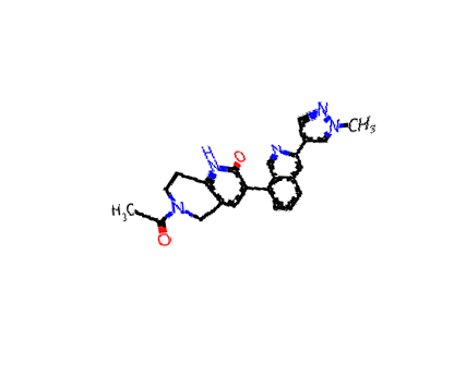 CC(=O)N1CCc2[nH]c(=O)c(-c3cccc4cc(-c5cnn(C)c5)ncc34)cc2C1